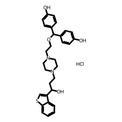 Cl.Oc1ccc(C(OCCN2CCN(CCC(O)c3csc4ccccc34)CC2)c2ccc(O)cc2)cc1